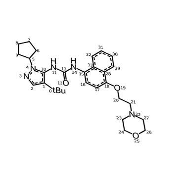 CC(C)(C)c1cnn(C2CCCC2)c1NC(=O)Nc1ccc(OCCN2CCOCC2)c2ccccc12